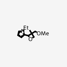 CCn1cccc1C1OCC1(C)COC